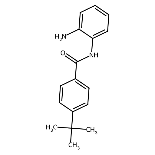 CC(C)(C)c1ccc(C(=O)Nc2ccccc2N)cc1